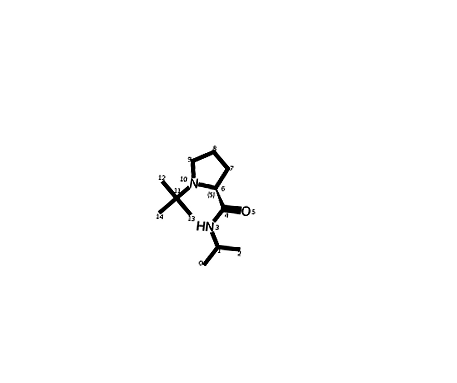 CC(C)NC(=O)[C@@H]1CCCN1C(C)(C)C